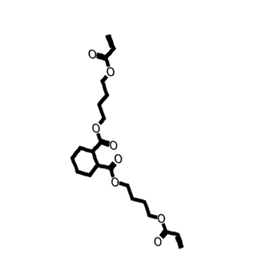 C=CC(=O)OCCCCOC(=O)C1CCCCC1C(=O)OCCCCOC(=O)C=C